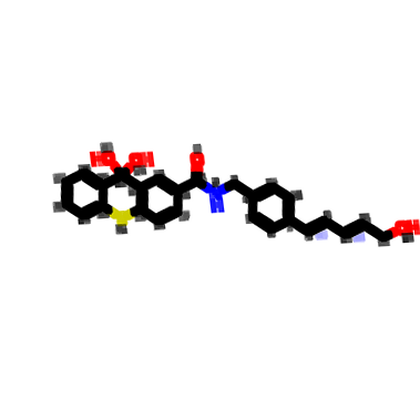 O=C(NCc1ccc(/C=C/C=C/CO)cc1)c1ccc2c(c1)C(O)(O)c1ccccc1S2